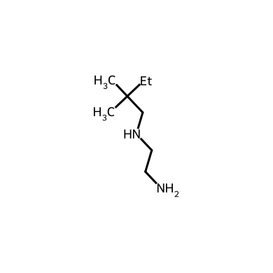 CCC(C)(C)CNCCN